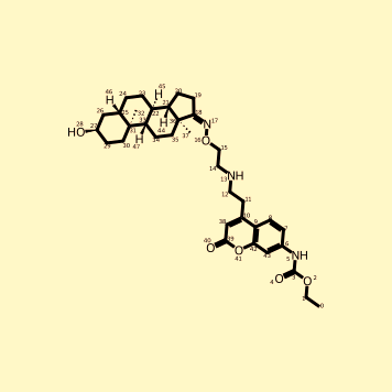 CCOC(=O)Nc1ccc2c(CCNCCO/N=C3/CC[C@H]4[C@@H]5CC[C@H]6C[C@H](O)CC[C@]6(C)[C@H]5CC[C@]34C)cc(=O)oc2c1